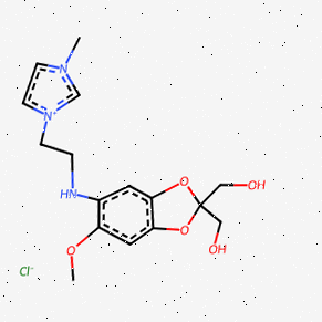 COc1cc2c(cc1NCC[n+]1ccn(C)c1)OC(CO)(CO)O2.[Cl-]